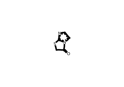 O=C1CSc2nccn21